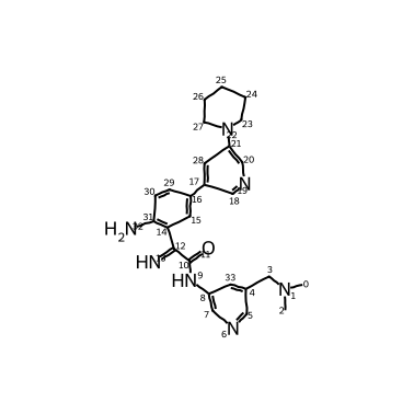 CN(C)Cc1cncc(NC(=O)C(=N)c2cc(-c3cncc(N4CCCCC4)c3)ccc2N)c1